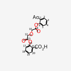 CC(=O)c1ccccc1OC(=O)COCC(=O)Oc1ccccc1C(=O)O